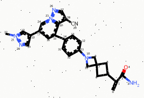 C=C(C(N)=O)C1CC2(C1)CN(c1ccc(-c3cc(-c4cnn(C)c4)cn4ncc(C#N)c34)cc1)C2